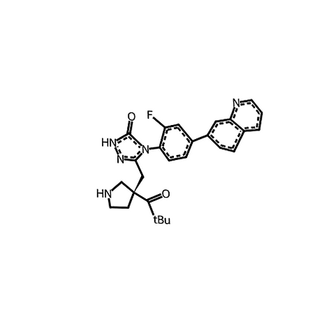 CC(C)(C)C(=O)[C@]1(Cc2n[nH]c(=O)n2-c2ccc(-c3ccc4cccnc4c3)cc2F)CCNC1